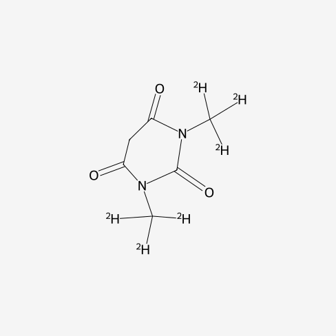 [2H]C([2H])([2H])N1C(=O)CC(=O)N(C([2H])([2H])[2H])C1=O